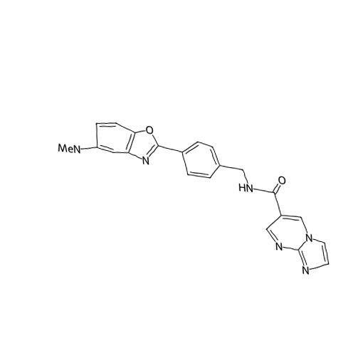 CNc1ccc2oc(-c3ccc(CNC(=O)c4cnc5nccn5c4)cc3)nc2c1